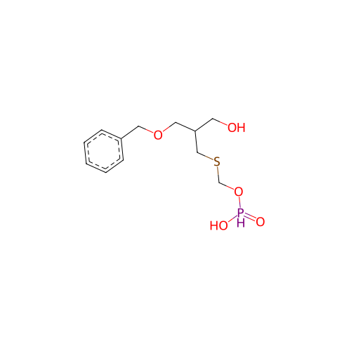 O=[PH](O)OCSCC(CO)COCc1ccccc1